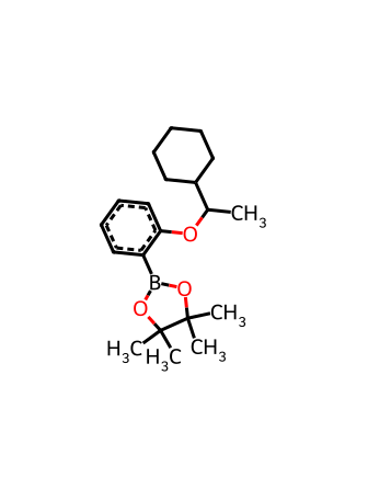 CC(Oc1ccccc1B1OC(C)(C)C(C)(C)O1)C1CCCCC1